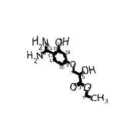 CCOC(=O)C(O)COc1ccc(C(N)N)c(O)c1